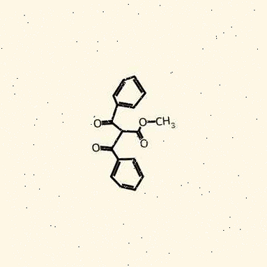 COC(=O)C(C(=O)c1ccccc1)C(=O)c1ccccc1